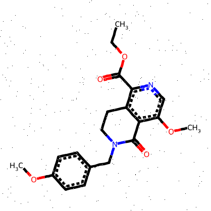 CCOC(=O)c1ncc(OC)c2c1CCN(Cc1ccc(OC)cc1)C2=O